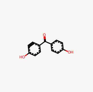 O=C(c1c#cc(O)cc1)c1ccc(O)cc1